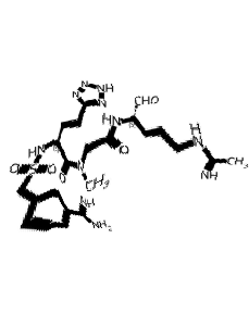 CC(=N)NCCC[C@@H](C=O)NC(=O)CN(C)C(=O)[C@H](CCc1nn[nH]n1)NS(=O)(=O)Cc1cccc(C(=N)N)c1